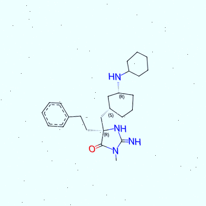 CN1C(=N)N[C@](CCc2ccccc2)(C[C@H]2CCC[C@@H](NC3CCCCC3)C2)C1=O